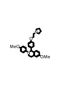 COc1ccc(N2CCc3cc(OC)ccc3C2c2ccc(OCCN3CCCC3)cc2)cc1